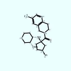 CO[C@@H]1COCC[C@@H]1N[C@]1(C(=O)N2CCc3ncc(C(F)(F)F)cc3C2)CC[C@H](C(C)C)C1